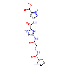 COC(=O)c1cc(NC(=O)c2nc(NC(=O)CCNC(=O)c3cccn3C)cn2C)cn1C